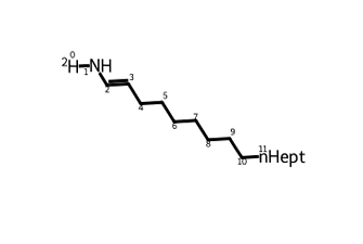 [2H]NC=CCCCCCCCCCCCCCC